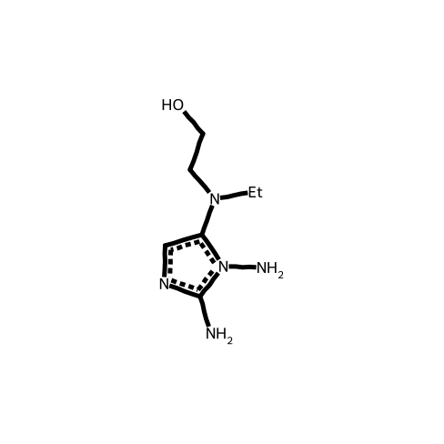 CCN(CCO)c1cnc(N)n1N